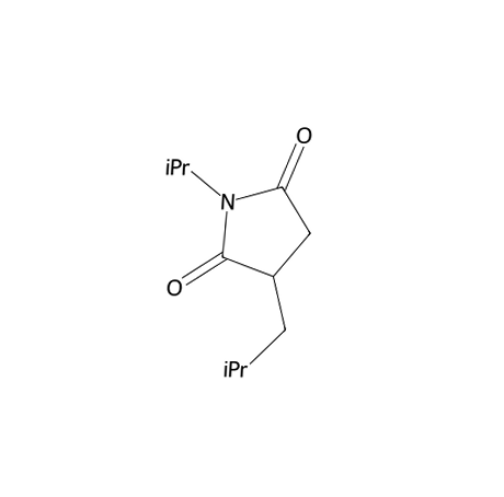 CC(C)CC1CC(=O)N(C(C)C)C1=O